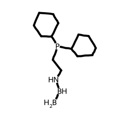 BBNCCP(C1CCCCC1)C1CCCCC1